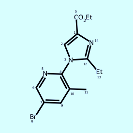 CCOC(=O)c1cn(-c2ncc(Br)cc2C)c(CC)n1